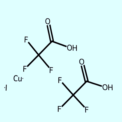 O=C(O)C(F)(F)F.O=C(O)C(F)(F)F.[Cu].[I]